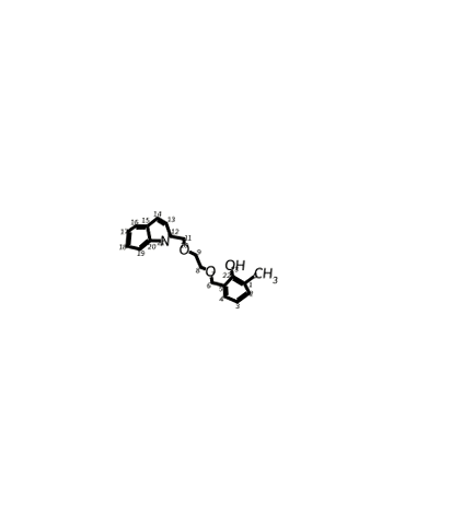 Cc1cccc(COCCOCc2ccc3ccccc3n2)c1O